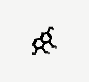 Cc1c(C#N)ncc2nc(N)cc(N)c12